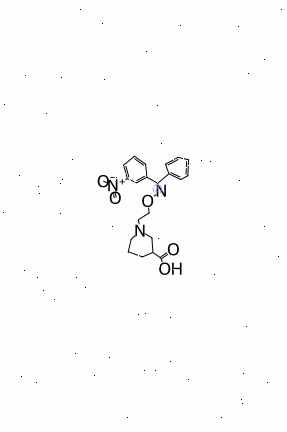 O=C(O)C1CCCN(CCO/N=C(/c2ccccc2)c2cccc([N+](=O)[O-])c2)C1